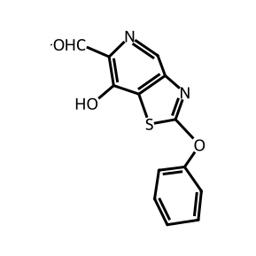 O=[C]c1ncc2nc(Oc3ccccc3)sc2c1O